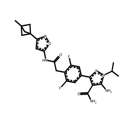 CC(C)n1nc(-c2cc(F)c(CC(=O)Nc3cc(C45CC(C)(C4)C5)no3)c(F)c2)c(C(N)=O)c1N